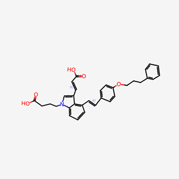 O=C(O)/C=C/c1cn(CCCC(=O)O)c2cccc(/C=C/c3ccc(OCCCc4ccccc4)cc3)c12